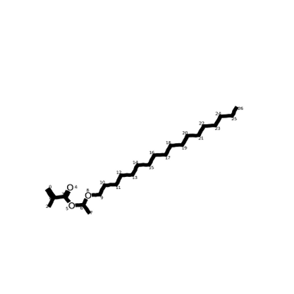 C=C(C)C(=O)OC(C)OCCCCCCCCCCCCCCCCCC